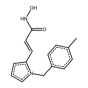 Cc1ccc(Cn2cccc2C=CC(=O)NO)cc1